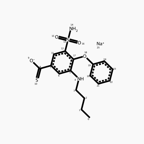 CCCCNc1cc(C([O-])=S)cc(S(N)(=O)=O)c1Oc1ccccc1.[Na+]